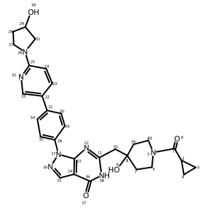 O=C(C1CC1)N1CCC(O)(Cc2nc3c(cnn3-c3ccc(-c4ccc(N5CCC(O)C5)nc4)cc3)c(=O)[nH]2)CC1